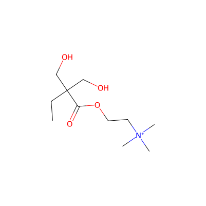 CCC(CO)(CO)C(=O)OCC[N+](C)(C)C